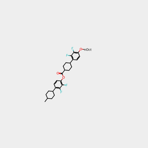 CCCCCCCCOc1ccc(C2CCC(C(=O)Oc3ccc(C4CCC(C)CC4)c(F)c3F)CC2)c(F)c1F